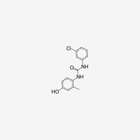 Cc1cc(O)ccc1NC(=O)Nc1cccc(Cl)c1